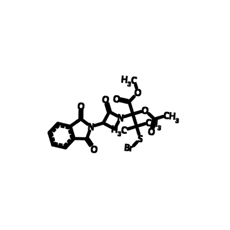 COC(=O)C(OC(C)=O)(N1CC(N2C(=O)c3ccccc3C2=O)C1=O)C(C)(C)SBr